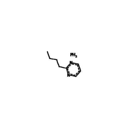 CCCCc1ncccn1.P